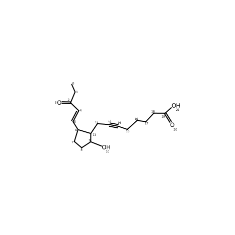 CCC(=O)/C=C/C1CCC(O)C1CC#CCCCCC(=O)O